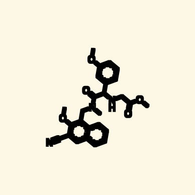 COC(=O)CNC(C(=O)N(C)Cc1c(OC)c(C#N)cc2ccccc12)c1cccc(OC)c1